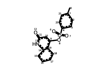 Cc1ccc(S(=O)(=O)Oc2cc(=O)[nH]c3ccccc23)cc1